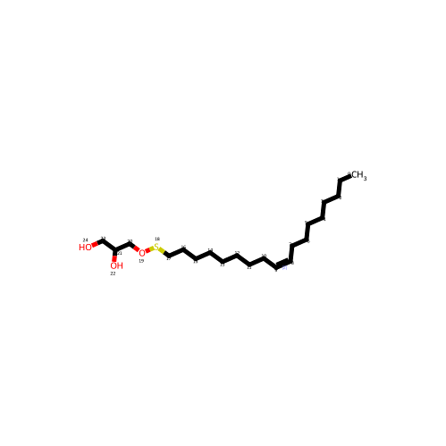 CCCCCCCC/C=C\CCCCCCCCSOCC(O)CO